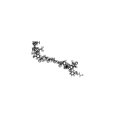 CCCCOc1cccc(Oc2cc3c(cc2NS(=O)(=O)c2cccc(C(=O)NCCOCCNC(=O)CN4CCN(C(=O)c5ccc(Nc6nc(C7CC7)cn7c(-c8cn[nH]c8)cnc67)c(F)c5)CC4)c2)n(C)c(=O)n3C)c1